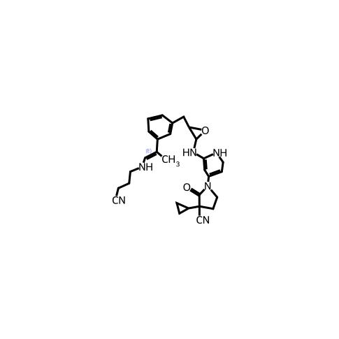 C/C(=C\NCCCC#N)c1cccc(CC2OC2NC2=CC(N3CCC(C#N)(C4CC4)C3=O)=CCN2)c1